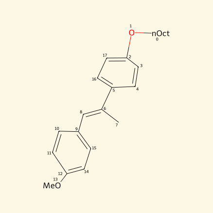 CCCCCCCCOc1ccc(/C(C)=C/c2ccc(OC)cc2)cc1